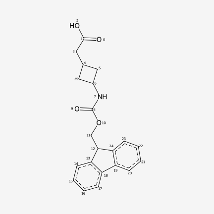 O=C(O)CC1CC(NC(=O)OCC2c3ccccc3-c3ccccc32)C1